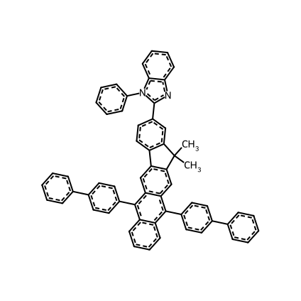 CC1(C)c2cc(-c3nc4ccccc4n3-c3ccccc3)ccc2-c2cc3c(-c4ccc(-c5ccccc5)cc4)c4ccccc4c(-c4ccc(-c5ccccc5)cc4)c3cc21